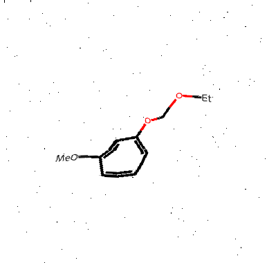 CCOCOc1cc[c]c(OC)c1